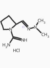 CN(C)/N=C/C1CCCN1C(=N)N.Cl